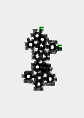 Fc1ccc(-c2ccccc2-c2c3c(c(-c4ccc(F)cc4)c4ccccc24)C2=CC=c4c5c(c6ccc7c8c(ccc4c68)-c4c-7c(-c6ccccc6)c6ccccc6c4-c4ccccc4-c4ccccc4)C=CC3C25)cc1